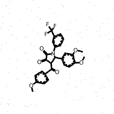 COc1ccc(C(=O)C2C(=O)C(=O)N(c3cccc(C(F)(F)F)c3)C2c2ccc(OC)c(OC)c2)cc1